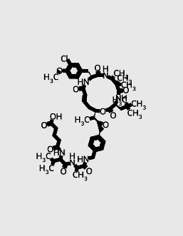 COc1ccc(C[C@H]2NC(=O)/C=C/C[C@@H](C(C)[C@H]3O[C@@H]3c3ccc(CNC(=O)C(C)NC(=O)C(NC(=O)CCCC(=O)O)C(C)C)cc3)OC(=O)[C@H](CC(C)(C)C)NC(=O)C(C)(C)C(C)NC2=O)cc1Cl